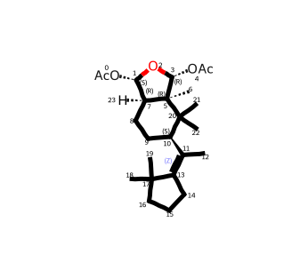 CC(=O)O[C@@H]1O[C@H](OC(C)=O)[C@]2(C)[C@H]1CC[C@H](/C(C)=C1/CCCC1(C)C)C2(C)C